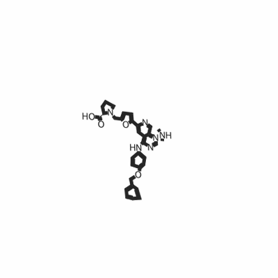 CNC.O=C(O)[C@@H]1CCCN1Cc1ccc(-c2cc3c(Nc4ccc(OCc5ccccc5)cc4)ncnc3cn2)o1